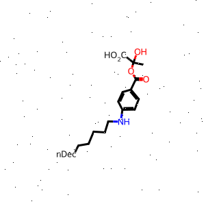 CCCCCCCCCCCCCCCNc1ccc(C(=O)OC(C)(O)C(=O)O)cc1